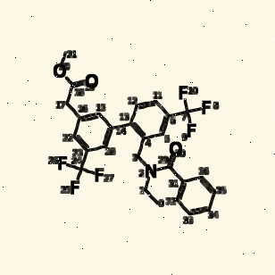 CCN(Cc1cc(C(F)(F)F)ccc1-c1cc(CC(=O)OC)cc(C(F)(F)F)c1)C(=O)c1ccccc1